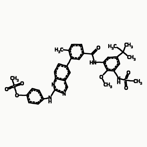 COc1c(NC(=O)c2ccc(C)c(-c3ccc4nc(Nc5ccc(OS(C)(=O)=O)cc5)ncc4c3)c2)cc(C(C)(C)C)cc1NS(C)(=O)=O